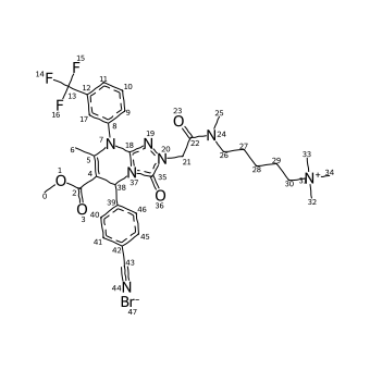 COC(=O)C1=C(C)N(c2cccc(C(F)(F)F)c2)c2nn(CC(=O)N(C)CCCCC[N+](C)(C)C)c(=O)n2C1c1ccc(C#N)cc1.[Br-]